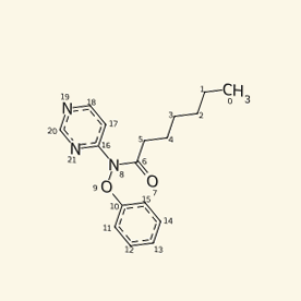 CCCCCCC(=O)N(Oc1ccccc1)c1ccncn1